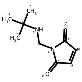 CC(C)(C)NCN1C(=O)C=CC1=O